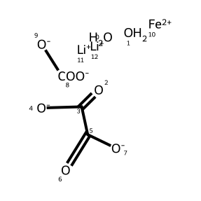 O.O.O=C([O-])C(=O)[O-].O=C([O-])[O-].[Fe+2].[Li+].[Li+]